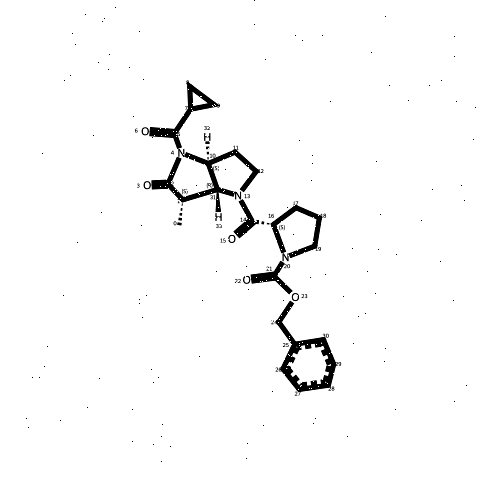 C[C@@H]1C(=O)N(C(=O)C2CC2)[C@H]2CCN(C(=O)[C@@H]3CCCN3C(=O)OCc3ccccc3)[C@H]12